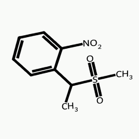 CC(c1ccccc1[N+](=O)[O-])S(C)(=O)=O